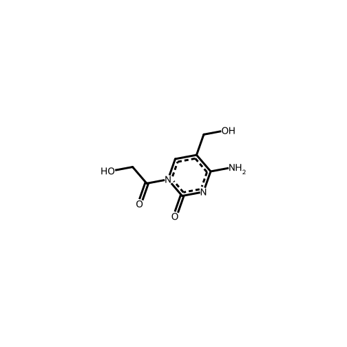 Nc1nc(=O)n(C(=O)CO)cc1CO